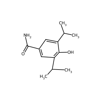 CC(C)c1cc(C(N)=O)cc(C(C)C)c1O